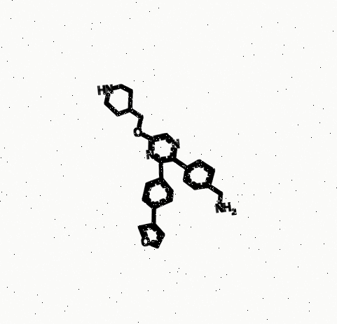 NCc1ccc(-c2ncc(OCC3CCNCC3)nc2-c2ccc(-c3ccoc3)cc2)cc1